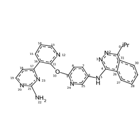 CC(C)c1nnc(Nc2ccc(Oc3ncccc3-c3ccnc(N)n3)nc2)c2ccccc12